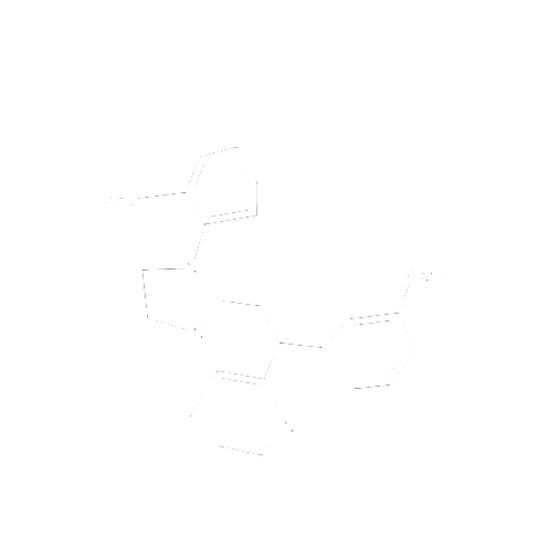 COc1cccc(C(CC2=NCCN2c2ccccc2C=O)c2ccccn2)c1